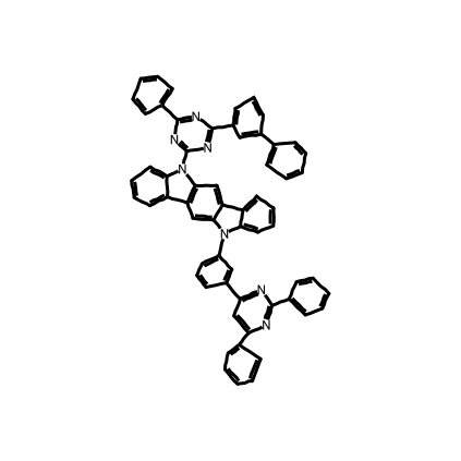 c1ccc(-c2cccc(-c3nc(-c4ccccc4)nc(-n4c5ccccc5c5cc6c(cc54)c4ccccc4n6-c4cccc(-c5cc(-c6ccccc6)nc(-c6ccccc6)n5)c4)n3)c2)cc1